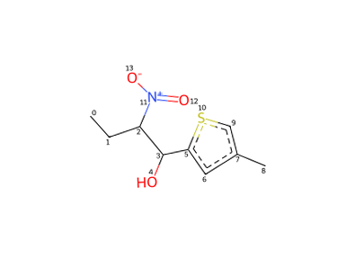 CCC(C(O)c1cc(C)cs1)[N+](=O)[O-]